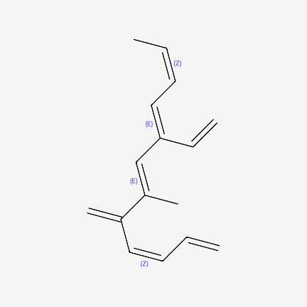 C=C/C=C\C(=C)/C(C)=C/C(C=C)=C/C=C\C